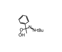 CC(C)(C)N=NC(C)(OO)c1ccccc1